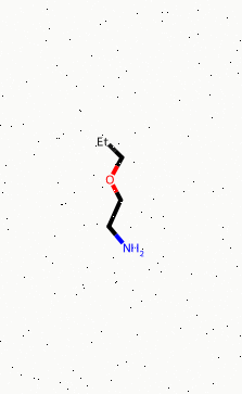 [CH2]CCOCCN